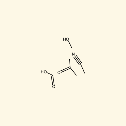 CC#N.CC(C)=O.CO.O=CO